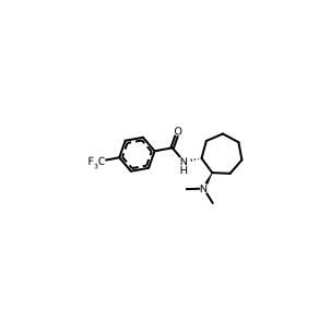 CN(C)[C@@H]1CCCCC[C@H]1NC(=O)c1ccc(C(F)(F)F)cc1